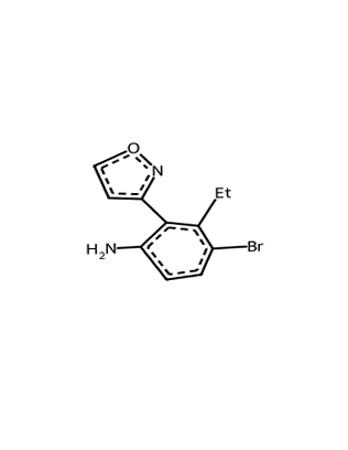 CCc1c(Br)ccc(N)c1-c1ccon1